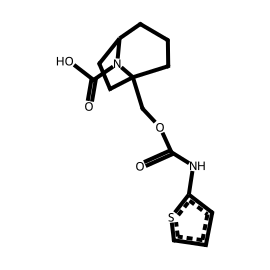 O=C(Nc1cccs1)OCC12CCCC(CC1)N2C(=O)O